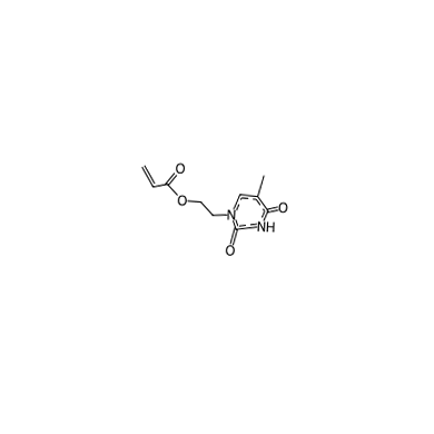 C=CC(=O)OCCn1cc(C)c(=O)[nH]c1=O